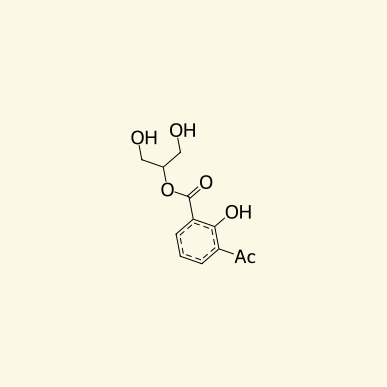 CC(=O)c1cccc(C(=O)OC(CO)CO)c1O